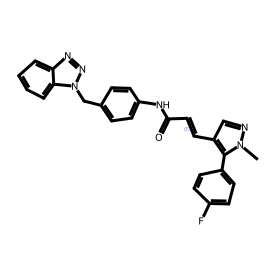 Cn1ncc(/C=C/C(=O)Nc2ccc(Cn3nnc4ccccc43)cc2)c1-c1ccc(F)cc1